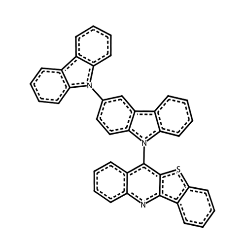 c1ccc2c(-n3c4ccccc4c4cc(-n5c6ccccc6c6ccccc65)ccc43)c3sc4ccccc4c3nc2c1